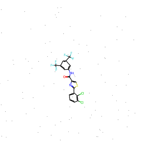 O=C(Nc1cc(C(F)(F)F)cc(C(F)(F)F)c1)c1csc(-c2cccc(Cl)c2Cl)n1